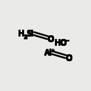 O=[SiH2].[OH-].[O]=[Al+]